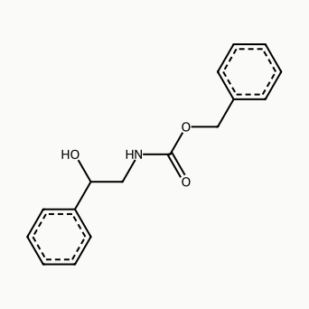 O=C(NCC(O)c1ccccc1)OCc1ccccc1